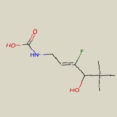 CC(C)(C)C(O)C(F)=CCNC(=O)O